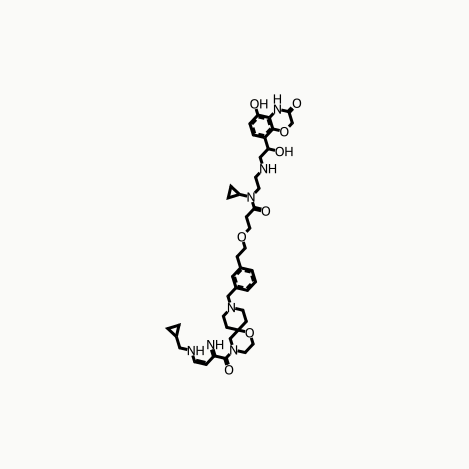 N=C(/C=C\NCC1CC1)C(=O)N1CCOC2(CCN(Cc3cccc(CCOCCC(=O)N(CCNCC(O)c4ccc(O)c5c4OCC(=O)N5)C4CC4)c3)CC2)C1